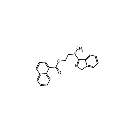 CN(CCOC(=O)c1cccc2ccccc12)C1=NCc2ccccc21